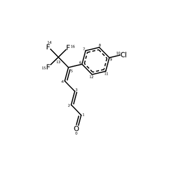 O=C/C=C/C=C(\c1ccc(Cl)cc1)C(F)(F)F